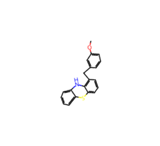 COc1cccc(Cc2cccc3c2Nc2ccccc2S3)c1